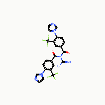 N=C(N)N(C(=O)c1ccc(-n2ccnc2)c(C(F)(F)F)c1)C(=O)c1ccc(-n2ccnc2)c(C(F)(F)F)c1